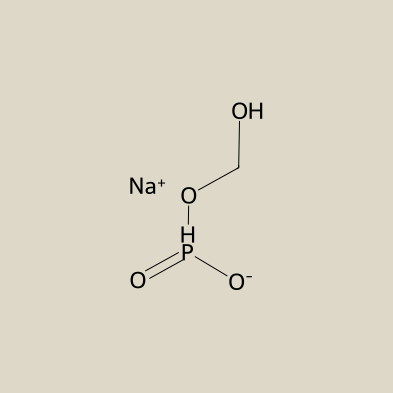 O=[PH]([O-])OCO.[Na+]